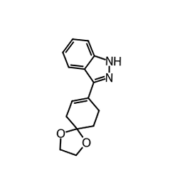 C1=C(c2n[nH]c3ccccc23)CCC2(C1)OCCO2